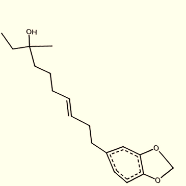 CCC(C)(O)CCCC=CCCc1ccc2c(c1)OCO2